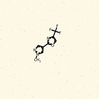 Cn1cc(-c2nc(C(F)(F)F)co2)cn1